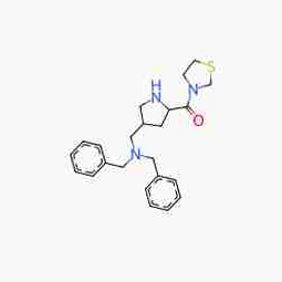 O=C(C1CC(CN(Cc2ccccc2)Cc2ccccc2)CN1)N1CCSC1